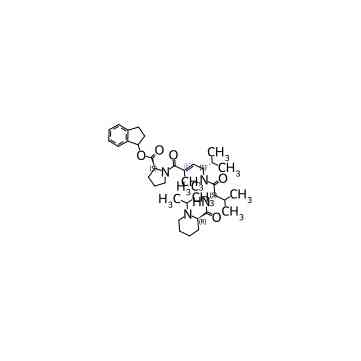 C/C(=C\[C@H](C(C)C)N(C)C(=O)[C@@H](NC(=O)[C@H]1CCCCN1C(C)C)C(C)C)C(=O)N1CCC[C@H]1C(=O)OC1CCc2ccccc21